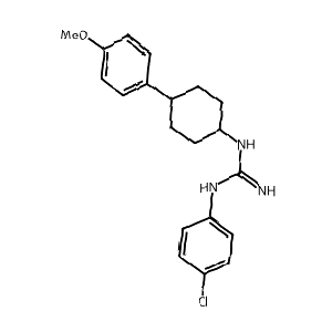 COc1ccc(C2CCC(NC(=N)Nc3ccc(Cl)cc3)CC2)cc1